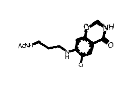 CC(=O)NCCCNc1cc2c(cc1Cl)C(=O)NCO2